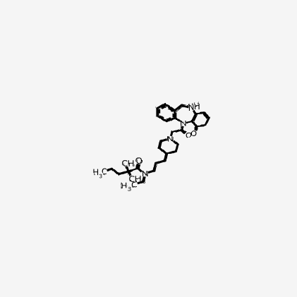 CCCC(C)(C)C(=O)N(CC)CCCC1CCN(CC(=O)N2C3=C(C=CCC3=O)NCc3ccccc32)CC1